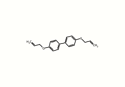 C=CCOc1ccc(-c2ccc(SCC=C)cc2)cc1